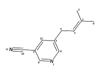 CC(C)=CCc1cncc(C#N)c1